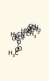 CCOC(=O)CCCOc1cc(=O)n(C2CC2)c2c(C)c(N3CC[C@@H]([C@H](C)NC(=O)OC(C)(C)C)C3)c(F)cc12